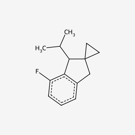 CC(C)C1c2c(F)cccc2CC12CC2